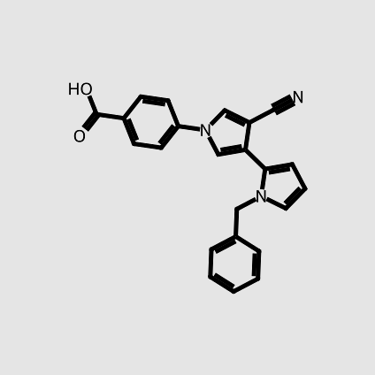 N#Cc1cn(-c2ccc(C(=O)O)cc2)cc1-c1cccn1Cc1ccccc1